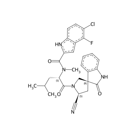 CC(C)C[C@@H](C(=O)N1C[C@]2(C[C@H]1C#N)C(=O)Nc1ccccc12)N(C)C(=O)c1cc2c(F)c(Cl)ccc2[nH]1